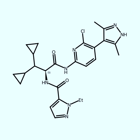 CCn1nccc1C(=O)N[C@H](C(=O)Nc1ccc(-c2c(C)n[nH]c2C)c(Cl)n1)C(C1CC1)C1CC1